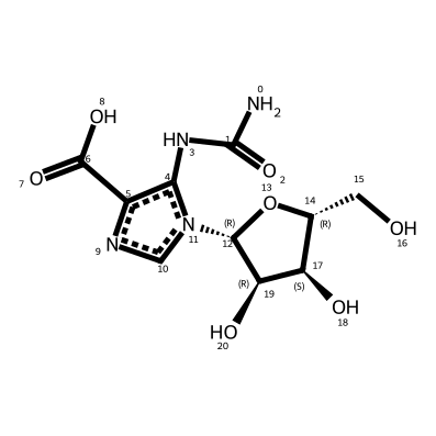 NC(=O)Nc1c(C(=O)O)ncn1[C@@H]1O[C@H](CO)[C@@H](O)[C@H]1O